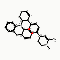 CN1CC[C@@H](C2=CC=C(C3C=CCCC3N3c4ccccc4CC4C=CC=CC43)CC2)C=C1C#N